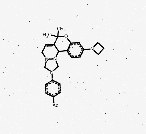 CC(=O)c1ccc(N2CN3CC=C4C(c5ccc(N6CCC6)cc5OC4(C)C)N3C2)cc1